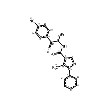 CC(C)C(NC(=O)c1cnn(-c2ccccc2)c1C(F)(F)F)C(=O)c1ccc(C#N)cc1